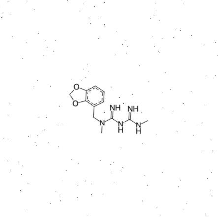 CNC(=N)NC(=N)N(C)Cc1cccc2c1OCO2